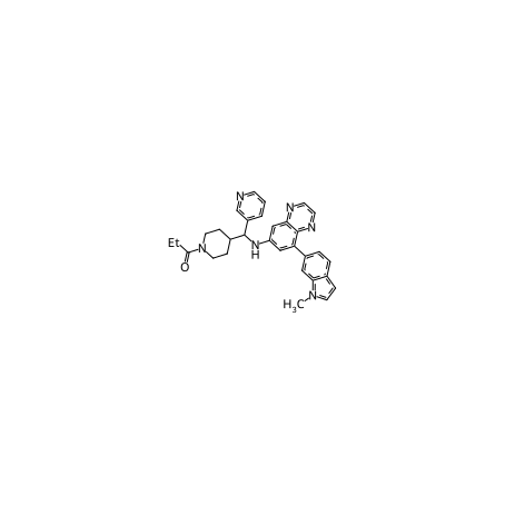 CCC(=O)N1CCC(C(Nc2cc(-c3ccc4ccn(C)c4c3)c3nccnc3c2)c2cccnc2)CC1